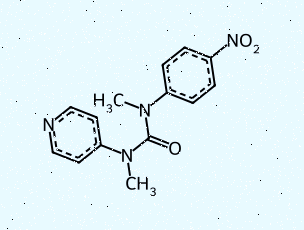 CN(C(=O)N(C)c1ccc([N+](=O)[O-])cc1)c1ccncc1